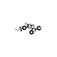 CCC1SC(=O)N(C(NC(=O)c2ccncc2)c2ccccc2)N=C1c1ccc(S(C)(=O)=O)cc1